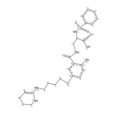 O=C(NCC(NS(=O)(=O)c1ccccc1)C(=O)O)c1cc(OCCCCNC2=NCCCN2)ccc1O